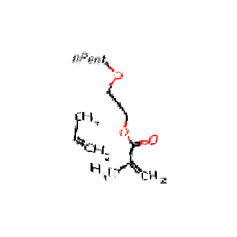 C=C(C)C(=O)OCCOCCCCC.C=CC